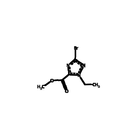 CCn1nc(Br)nc1C(=O)OC